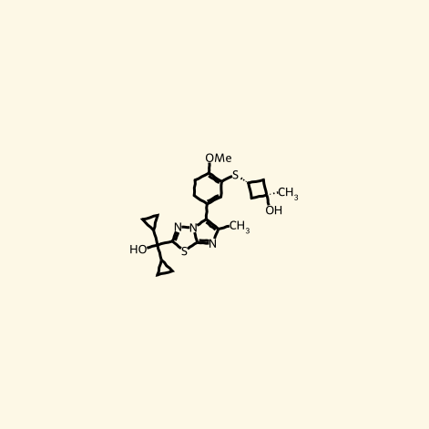 COC1=C(S[C@H]2C[C@](C)(O)C2)C=C(c2c(C)nc3sc(C(O)(C4CC4)C4CC4)nn23)CC1